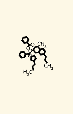 CCCCC1=CC([C@H]2c3cc(CCCC)ccc3[C@H](C)C(OC(=O)c3ccccc3)C2OC(=O)c2ccccc2)C=C1